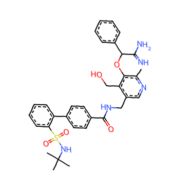 Cc1ncc(CNC(=O)c2ccc(-c3ccccc3S(=O)(=O)NC(C)(C)C)cc2)c(CO)c1OC(C(=N)N)c1ccccc1